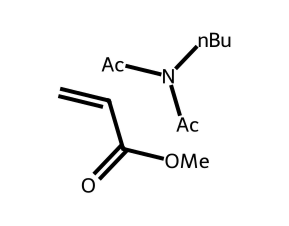 C=CC(=O)OC.CCCCN(C(C)=O)C(C)=O